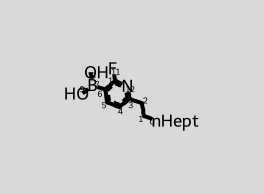 CCCCCCCCCc1ccc(B(O)O)c(F)n1